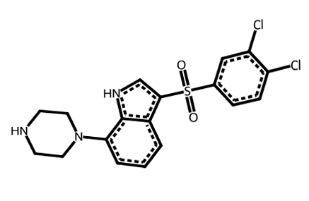 O=S(=O)(c1ccc(Cl)c(Cl)c1)c1c[nH]c2c(N3CCNCC3)cccc12